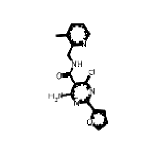 Cc1cccnc1CNC(=O)c1c(N)nc(-c2ccco2)nc1Cl